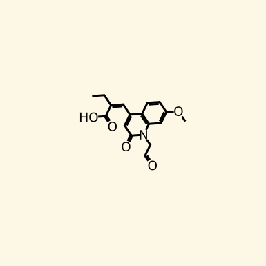 CCC(=Cc1cc(=O)n(CC=O)c2cc(OC)ccc12)C(=O)O